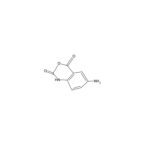 Nc1ccc2[nH]c(=O)oc(=O)c2c1